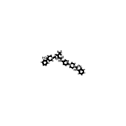 O=C(Nc1ccc(N2CCN(C(=O)Nc3ccccc3F)CC2)nc1)c1oc(N2CCC(O)(c3ccccc3)CC2)nc1C(F)(F)F